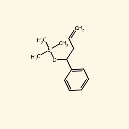 C=CCC(O[Si](C)(C)C)c1ccccc1